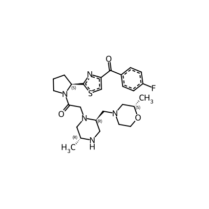 C[C@@H]1CN(CC(=O)N2CCC[C@H]2c2nc(C(=O)c3ccc(F)cc3)cs2)[C@@H](CN2CCO[C@@H](C)C2)CN1